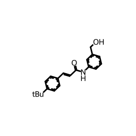 CC(C)(C)c1ccc(/C=C/C(=O)Nc2cccc(CO)c2)cc1